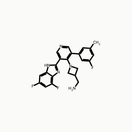 Cc1cc(F)cc(-c2cncc(-c3nc4c(F)cc(F)cc4[nH]3)c2N2CC(CN)C2)c1